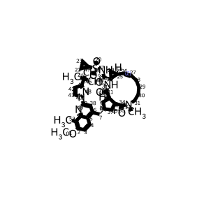 COc1ccc2c(C[C@@H]3C[C@H]4C(=O)N[C@]5(C(=O)NS(=O)(=O)C6CC6)C[C@H]5/C=C\CCCCN(C)C(=O)[C@@H]4C3)cc(-n3ccc(C(C)(C)C)n3)nc2c1C